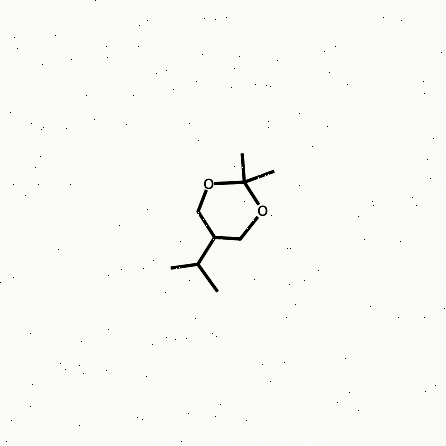 CC(C)C1COC(C)(C)OC1